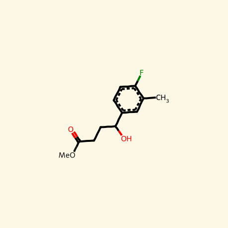 COC(=O)CCC(O)c1ccc(F)c(C)c1